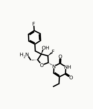 CCc1cn([C@@H]2O[C@H](CN)[C@](O)(Cc3ccc(F)cc3)[C@H]2F)c(=O)[nH]c1=O